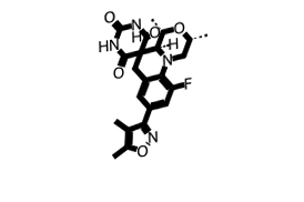 Cc1onc(-c2cc(F)c3c(c2)CC2(C(=O)NC(=O)NC2=O)[C@H]2[C@H](C)O[C@H](C)CN32)c1C